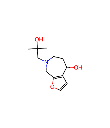 CC(C)(O)CN1CCC(O)c2ccoc2C1